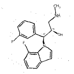 CNC[C@@H](O)[C@H](c1cccc(F)c1)n1ccc2cccc(F)c21